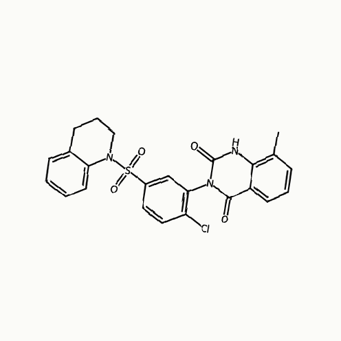 Cc1cccc2c(=O)n(-c3cc(S(=O)(=O)N4CCCc5ccccc54)ccc3Cl)c(=O)[nH]c12